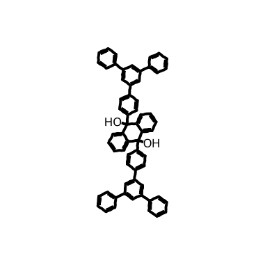 OC1(c2ccc(-c3cc(-c4ccccc4)cc(-c4ccccc4)c3)cc2)c2ccccc2C(O)(c2ccc(-c3cc(-c4ccccc4)cc(-c4ccccc4)c3)cc2)c2ccccc21